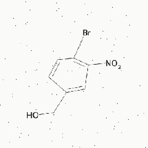 O=[N+]([O-])c1cc([CH]O)ccc1Br